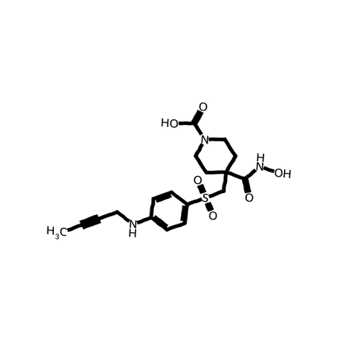 CC#CCNc1ccc(S(=O)(=O)CC2(C(=O)NO)CCN(C(=O)O)CC2)cc1